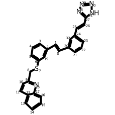 C(=Cc1cccc(SCc2ccc3ccccc3n2)c1)c1cccc(C=Cc2nnn[nH]2)c1